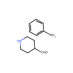 O=CC1CCNCC1.O=[N+]([O-])c1ccccc1